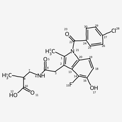 Cc1c(CC(=O)NCC(C)C(=O)O)c2c(F)c(O)ccc2n1C(=O)c1ccc(Cl)cc1